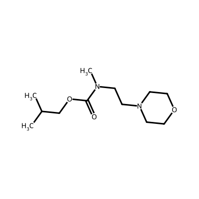 CC(C)COC(=O)N(C)CCN1CCOCC1